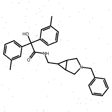 Cc1cccc(C(O)(C(=O)NCC2C3CN(Cc4ccccc4)CC23)c2cccc(C)c2)c1